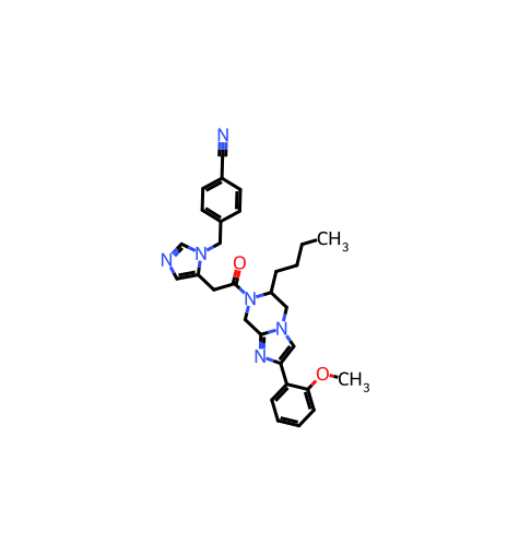 CCCCC1Cn2cc(-c3ccccc3OC)nc2CN1C(=O)Cc1cncn1Cc1ccc(C#N)cc1